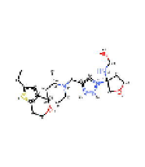 CCc1cc2c(s1)CCO[C@@]21CCN(Cc2cn(C3(NCO)CCOC3)nn2)[C@@H](C)C1